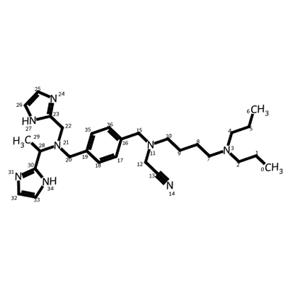 CCCN(CCC)CCCCN(CC#N)Cc1ccc(CN(Cc2ncc[nH]2)C(C)c2ncc[nH]2)cc1